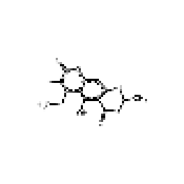 CCc1c(F)c(=O)oc2cc3c(c(O)c12)C(=O)CC(C)O3